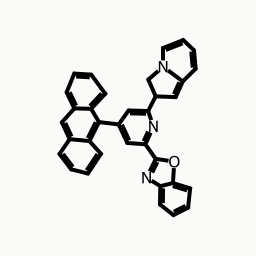 C1=CC2=CC(c3cc(-c4c5ccccc5cc5ccccc45)cc(-c4nc5ccccc5o4)n3)CN2C=C1